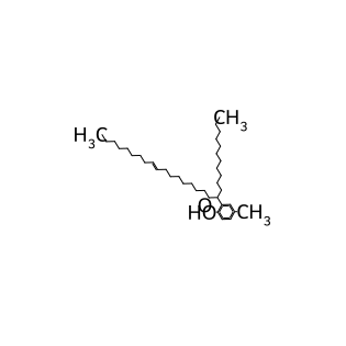 CCCCCCCCC=CCCCCCCCC(=O)C(CCCCCCCCCCC)c1cc(C)ccc1O